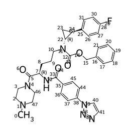 CN1CCN(C(=O)[C@@H](CCCN(C(=O)OCc2ccccc2)[C@@H]2C[C@H]2c2ccc(F)cc2)NC(=O)c2ccc(-n3ccnn3)cc2)CC1